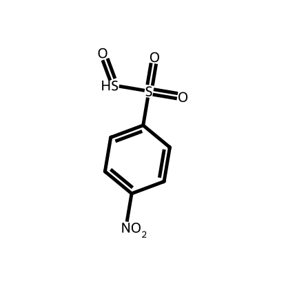 O=[SH]S(=O)(=O)c1ccc([N+](=O)[O-])cc1